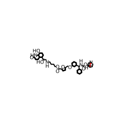 O=C(NC(c1ccccc1)c1cccc(OCc2ccc(C(=O)OCCCCNC[C@@H](O)c3ccc(O)c4[nH]c(=O)ccc34)o2)c1)O[C@H]1CN2CCC1CC2